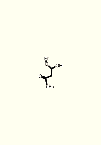 CCCCC(=O)CC(O)OCC